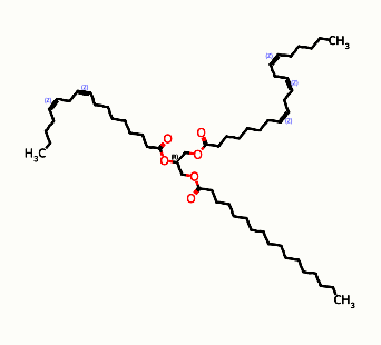 CCCC/C=C\C/C=C\CCCCCCCC(=O)O[C@@H](COC(=O)CCCCCC/C=C\C/C=C\C/C=C\CCCCC)COC(=O)CCCCCCCCCCCCCCCC